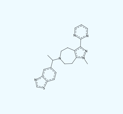 CC(c1ccc2scnc2c1)N1CCc2c(-c3ncccn3)nn(C)c2CC1